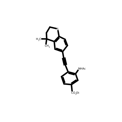 CCOC(=O)c1ccc(C#Cc2ccc3c(c2)C(C)(C)CCS3)c(NC(C)=O)c1